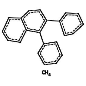 C.c1ccc(-c2ccc3ccccc3c2-c2ccccc2)cc1